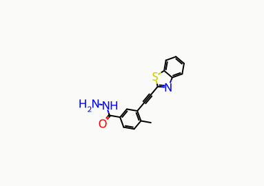 Cc1ccc(C(=O)NN)cc1C#Cc1nc2ccccc2s1